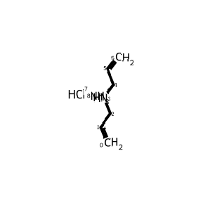 C=CCNCC=C.Cl.N